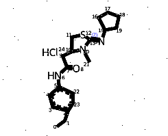 CCc1ccc(NC(=O)CC2CS/C(=N\C3CCCC3)N2C)cc1.Cl